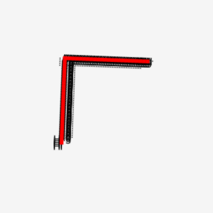 I.I.I.I.I.I.I.I.I.I.[Ag].[Ag].[Ag].[Ag].[Ag].[Ag].[Ag].[Ag].[Ag].[Ag].[Ag].[Ag].[Ag].[Ag].[Ag].[Ag].[Ag].[Ag].[Ag].[Ag].[Ag].[Ag].[Ag].[Ag].[Ag].[Ag].[Ag].[Ag].[Ag].[Ag].[Ag].[Ag].[Ag].[Ag].[Ag].[Ag].[Ag].[Ag].[Ag].[Ag].[Ag].[Ag].[Ag].[Ag].[Ag].[Ag].[Ag].[Ag].[Ag].[Ag].[Ag].[Ag].[Ag].[Ag].[Ag].[Ag].[Ag].[Ag].[Ag].[Ag].[Ag].[Ag].[Ag].[Ag].[Ag].[Ag].[Ag].[Ag].[Ag].[Ag].[Ag].[Ag].[Ag].[Ag].[Ag].[Ag].[Ag].[Ag].[Ag].[Ag].[Ag].[Ag].[Ag].[Ag].[Ag].[Ag].[Ag].[Ag].[Ag].[Ag]